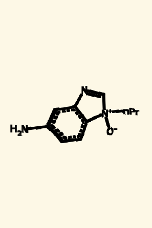 CCC[N+]1([O-])C=Nc2cc(N)ccc21